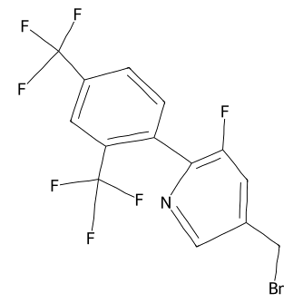 Fc1cc(CBr)cnc1-c1ccc(C(F)(F)F)cc1C(F)(F)F